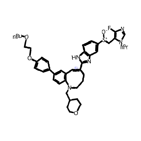 CCCCOCCOc1ccc(-c2ccc3c(c2)/C=C(/c2nc4cc([S+]([O-])Cc5c(F)ncn5CCC)ccc4[nH]2)CCCN3CC2CCOCC2)cc1